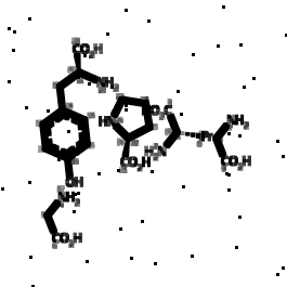 CC(C)[C@H](N)C(=O)O.NCC(=O)O.NCC(=O)O.N[C@@H](Cc1ccc(O)cc1)C(=O)O.O=C(O)[C@@H]1CCCN1